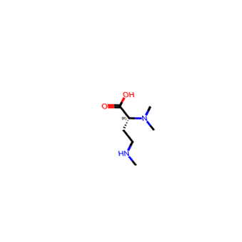 CNCC[C@H](C(=O)O)N(C)C